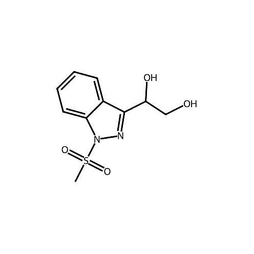 CS(=O)(=O)n1nc(C(O)CO)c2ccccc21